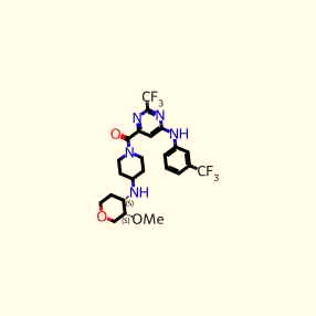 CO[C@@H]1COCC[C@@H]1NC1CCN(C(=O)c2cc(Nc3cccc(C(F)(F)F)c3)nc(C(F)(F)F)n2)CC1